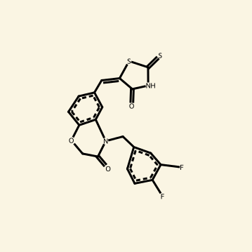 O=C1NC(=S)SC1=Cc1ccc2c(c1)N(Cc1ccc(F)c(F)c1)C(=O)CO2